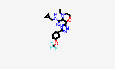 CCN1CCOc2c1c(NCC1CC1)nn1c(-c3cccc(OC(F)(F)F)c3)nnc21